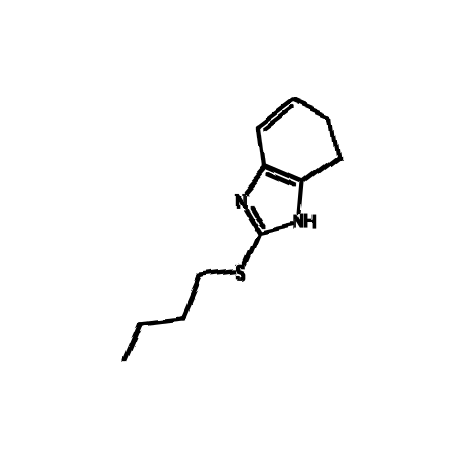 CCCCSc1nc2c([nH]1)CCC=C2